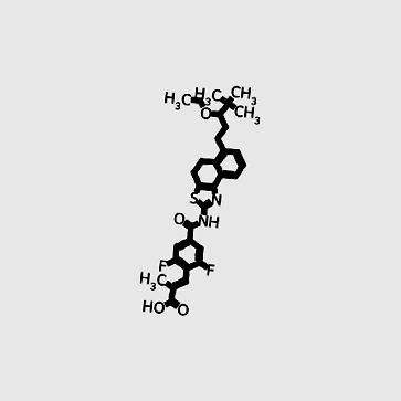 CCOC(CCc1cccc2c1CCc1sc(NC(=O)c3cc(F)c(C=C(C)C(=O)O)c(F)c3)nc1-2)C(C)(C)C